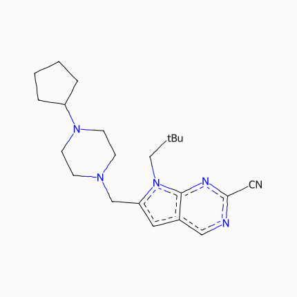 CC(C)(C)Cn1c(CN2CCN(C3CCCC3)CC2)cc2cnc(C#N)nc21